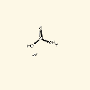 O=[Si](O)O.[Lu].[Y]